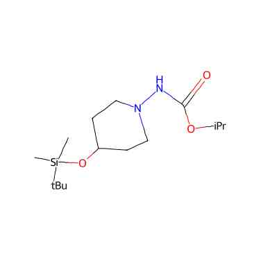 CC(C)OC(=O)NN1CCC(O[Si](C)(C)C(C)(C)C)CC1